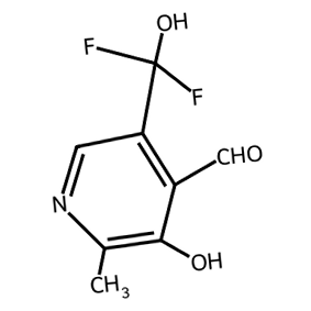 Cc1ncc(C(O)(F)F)c(C=O)c1O